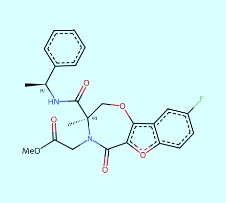 COC(=O)CN1C(=O)c2oc3ccc(F)cc3c2OC[C@]1(C)C(=O)N[C@@H](C)c1ccccc1